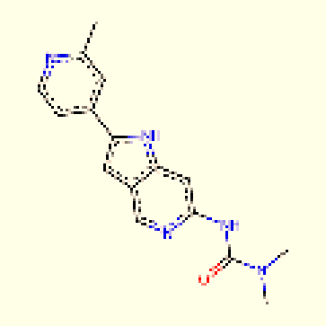 Cc1cc(-c2cc3cnc(NC(=O)N(C)C)cc3[nH]2)ccn1